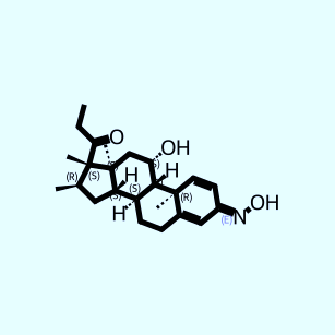 CCC(=O)[C@@]1(C)[C@H](C)C[C@H]2[C@@H]3CCC4=C/C(=N/O)C=C[C@]4(C)[C@H]3[C@@H](O)C[C@@]21C